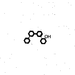 O[C@@H]1CCCC[C@@H]1C1=CCCC(C2CCC[C@H](C3=CCCCC3)C2)C1